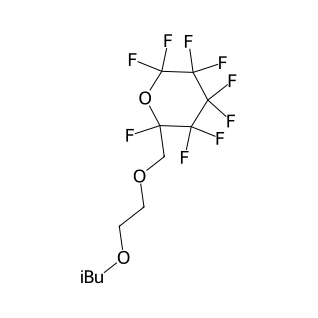 CCC(C)OCCOCC1(F)OC(F)(F)C(F)(F)C(F)(F)C1(F)F